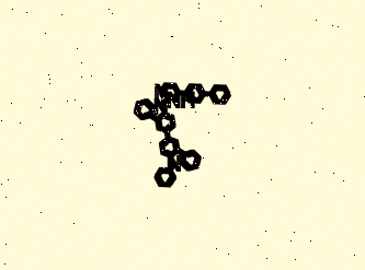 C1=CC(c2ccc(-c3ccccc3)cc2)NC(n2c3ccccc3c3cc(-c4ccc5c(c4)c4ccccc4n5-c4ccccc4)ccc32)=N1